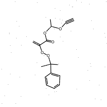 C#COC(C)OC(=O)C(=C)OOC(C)(C)c1ccccc1